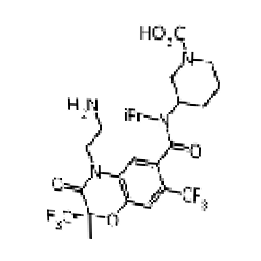 CC(C)N(C(=O)c1cc2c(cc1C(F)(F)F)O[C@@](C)(C(F)(F)F)C(=O)N2CCN)C1CCCN(C(=O)O)C1